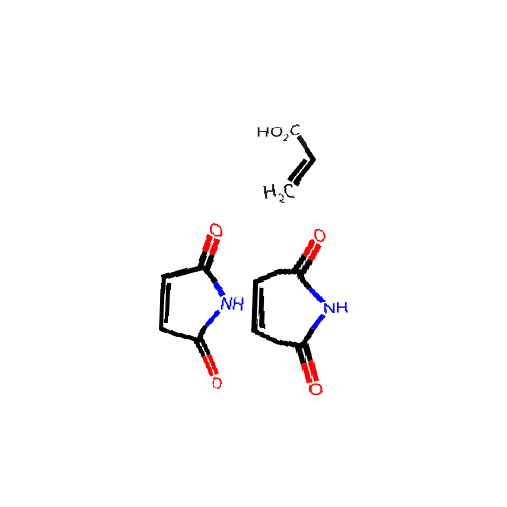 C=CC(=O)O.O=C1C=CC(=O)N1.O=C1C=CC(=O)N1